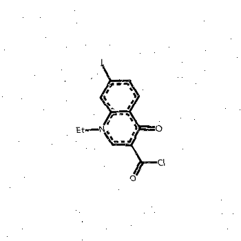 CCn1cc(C(=O)Cl)c(=O)c2ccc(I)cc21